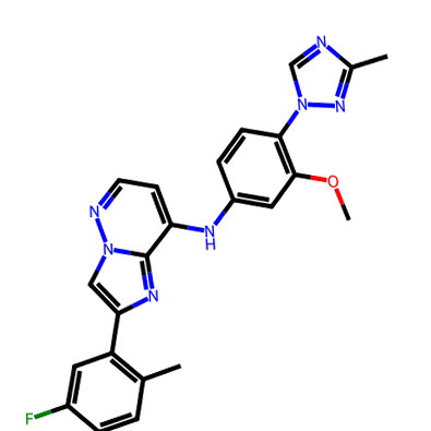 COc1cc(Nc2ccnn3cc(-c4cc(F)ccc4C)nc23)ccc1-n1cnc(C)n1